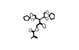 C=C(C)C(=O)OCC(=O)C(C1COC2(CCCC2)O1)C1COC2(CCCC2)O1